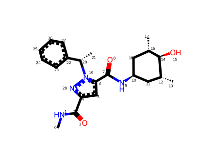 CNC(=O)c1cc(C(=O)N[C@@H]2C[C@@H](C)[C@H](O)[C@@H](C)C2)n([C@@H](C)c2ccccc2)n1